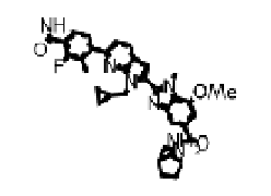 COc1cc(C(=O)N2CC3CCC2C3N)cc2nc(-c3cc4ccc(-c5ccc(C(N)=O)c(F)c5C)nc4n3CC3CC3)n(C)c12